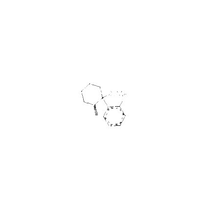 C=C1CCCCC1(NC)c1ccccc1Cl